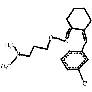 CN(C)CCCON=C1CCCCC1=Cc1cccc(Cl)c1